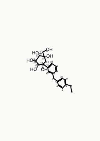 CCc1ccc(Cc2cccc([C@]3(O)C[C@](O)(CO)[C@@H](O)[C@H](O)[C@H]3O)c2)cc1